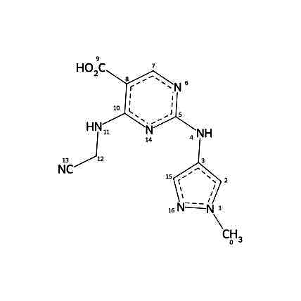 Cn1cc(Nc2ncc(C(=O)O)c(NCC#N)n2)cn1